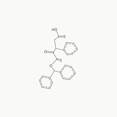 O=C(C(=S)OC(c1ccccc1)c1ccccc1)C(CC(O)=S)c1ccccc1